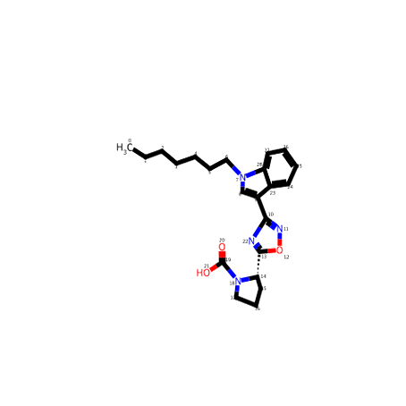 CCCCCCCn1cc(-c2noc([C@@H]3CCCN3C(=O)O)n2)c2ccccc21